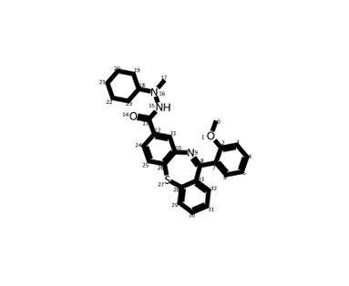 COc1ccccc1C1=Nc2cc(C(=O)NN(C)C3CCCCC3)ccc2Sc2ccccc21